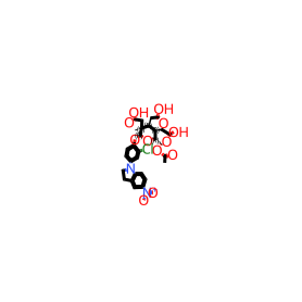 CC(=O)OC[C@@H]1O[C@H](Oc2ccc(N3CCc4cc([N+](=O)[O-])ccc43)cc2Cl)[C@@](C)(CC(=O)O)[C@@H](CC(=O)O)[C@H]1CC(=O)O